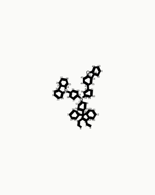 C=CC1=C(/C=C\C)C(c2ccccc2)(c2ccc(N(c3ccc(-n4c5ccccc5c5ccccc54)cc3)c3cccc(-c4ccc5oc6ccccc6c5c4)c3)cc2)c2ccccc21